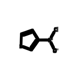 [O-][S+](Cl)c1ccsc1